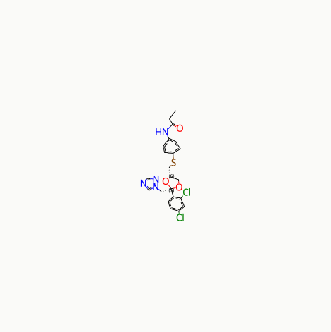 CCC(=O)Nc1ccc(SC[C@@H]2CO[C@@](Cn3cncn3)(c3ccc(Cl)cc3Cl)O2)cc1